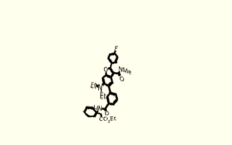 CCOC(=O)CC1(NC(=O)c2cccc(-c3cc4c(C(=O)NC)c(-c5ccc(F)cc5)oc4cc3N(CC)CC)c2)CCCCC1